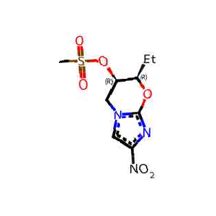 CC[C@H]1Oc2nc([N+](=O)[O-])cn2C[C@H]1OS(C)(=O)=O